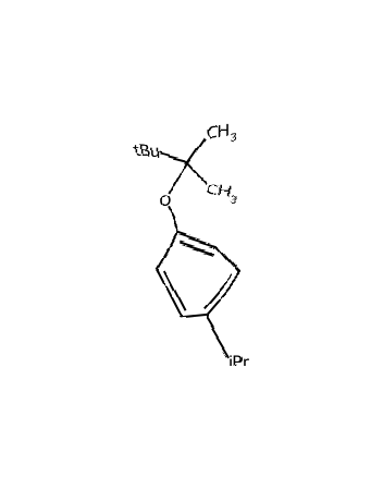 CC(C)c1ccc(OC(C)(C)C(C)(C)C)cc1